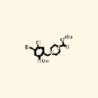 COc1cc(Br)c(Cl)cc1CN1CCN(C(=O)OC(C)(C)C)CC1